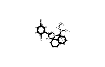 CON(C)C(=O)N1N=C(c2cc(F)ccc2F)SC12CCCc1ccccc12